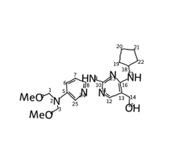 COCN(COC)c1ccc(Nc2ncc(CO)c(NC3CCCC3)n2)nc1